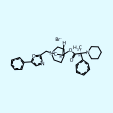 C[C@@](C(=O)O[C@H]1C[N+]2(Cc3ncc(-c4ccccc4)o3)CCC1CC2)(c1ccccc1)N1CCCCC1.[Br-]